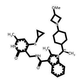 COC1CN(C2CCC([C@@H](C)n3c(C)c(C(=O)NCc4c(SC5CC5)cc(C)[nH]c4=O)c4ccccc43)CC2)C1